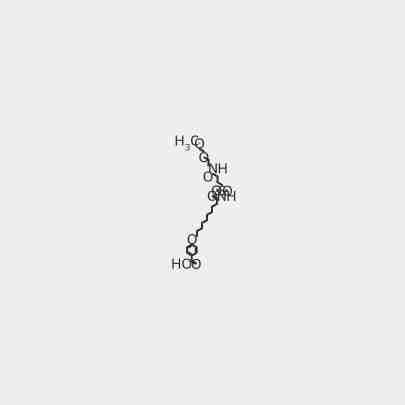 COCCOCCNC(=O)CCCS(=O)(=O)NC(=O)CCCCCCCCCOc1ccc(C(=O)O)cc1